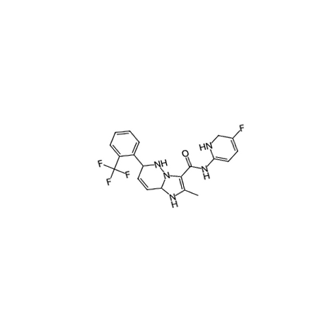 CC1=C(C(=O)NC2=CC=C(F)CN2)N2NC(c3ccccc3C(F)(F)F)C=CC2N1